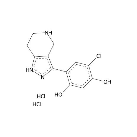 Cl.Cl.Oc1cc(O)c(-c2n[nH]c3c2CNCC3)cc1Cl